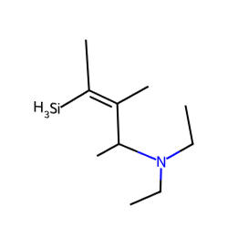 CCN(CC)C(C)C(C)=C(C)[SiH3]